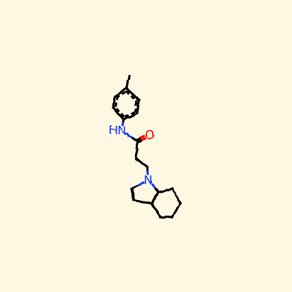 Cc1ccc(NC(=O)CCN2CCC3CCCCC32)cc1